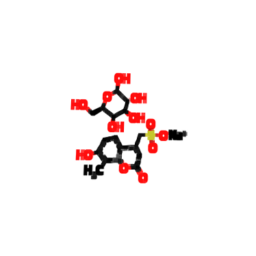 Cc1c(O)ccc2c(CS(=O)(=O)[O-])cc(=O)oc12.OC[C@H]1O[C@@H](O)[C@H](O)[C@@H](O)[C@H]1O.[Na+]